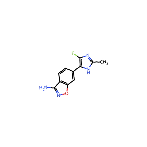 Cc1nc(F)c(-c2ccc3c(N)noc3c2)[nH]1